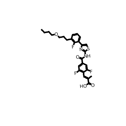 CCCCOCCCc1cccc(-c2csc(NC(=O)c3cc(F)c(/C=C(\C)C(=O)O)c(F)c3)n2)c1F